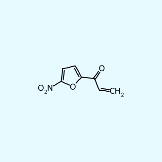 C=CC(=O)c1ccc([N+](=O)[O-])o1